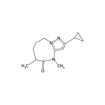 CC1CCCn2nc(C3CC3)cc2N(C)C1=O